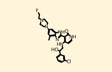 Cc1cc(N2CCN(CCF)CC2)cc2[nH]c(-c3c(NCC(O)c4cccc(Cl)c4)cc[nH]c3=O)nc12